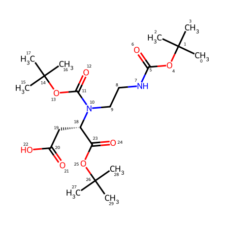 CC(C)(C)OC(=O)NCCN(C(=O)OC(C)(C)C)[C@@H](CC(=O)O)C(=O)OC(C)(C)C